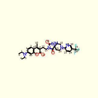 CCN(CC)c1ccc2c(C)c(CCN3C(=O)NC4(CCN(c5ccc(C(F)(F)F)cn5)CC4)C3=O)c(=O)oc2c1